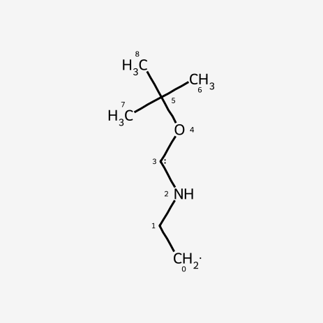 [CH2]CN[C]OC(C)(C)C